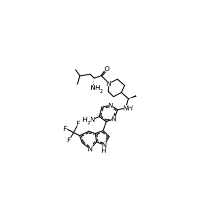 CC(C)C[C@@H](N)C(=O)N1CCC([C@@H](C)Nc2ncc(N)c(-c3c[nH]c4ncc(C(F)(F)F)cc34)n2)CC1